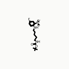 CC(C)(C)OC(=O)NCCCCCNc1ccc(F)cc1[N+](=O)[O-]